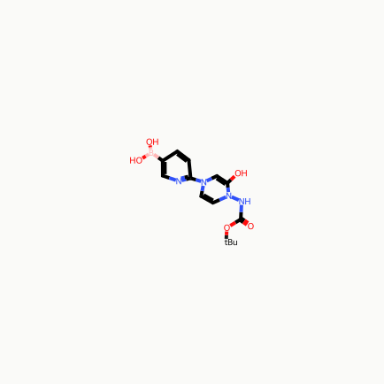 CC(C)(C)OC(=O)NN1C=CN(c2ccc(B(O)O)cn2)C=C1O